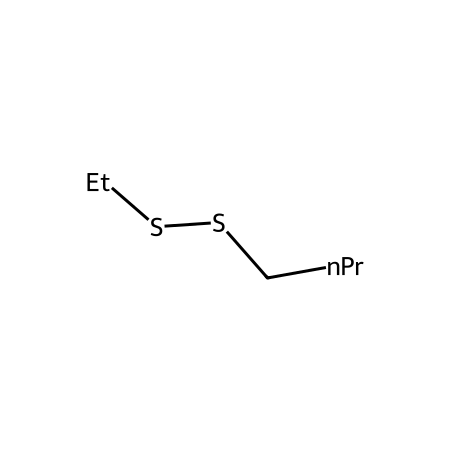 CCCCSSCC